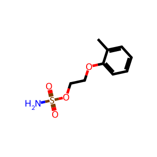 Cc1ccccc1OCCOS(N)(=O)=O